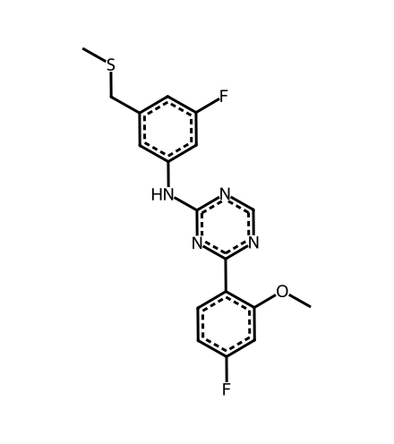 COc1cc(F)ccc1-c1ncnc(Nc2cc(F)cc(CSC)c2)n1